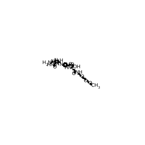 CCOCCOCCOCCCNC(=O)CC[C@H](NC(=O)c1ccc(NCc2cnc3nc(N)[nH]c(=O)c3n2)cc1)C(=O)O